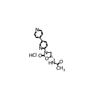 CC(=O)NC[C@H]1CN(c2ccc(-c3ccncc3)cn2)C(=O)O1.Cl